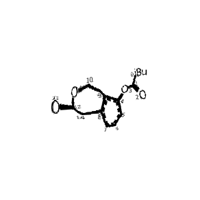 CCC(C)C(=O)Oc1cccc2c1COC(=O)C2